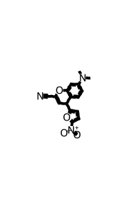 CN(C)c1ccc2c(c1)OC(C#N)=CC2c1ccc([N+](=O)[O-])o1